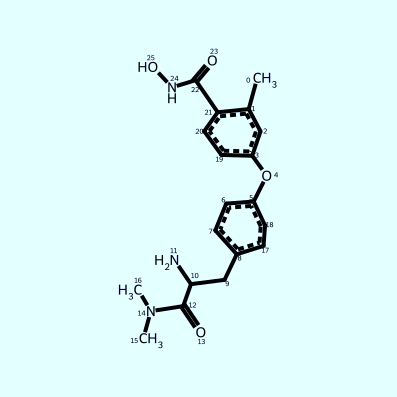 Cc1cc(Oc2ccc(CC(N)C(=O)N(C)C)cc2)ccc1C(=O)NO